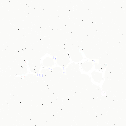 COC(=O)Nc1ccnc(N[C@@H](C)c2cc3cc(Cl)cc(F)c3[nH]c2=O)n1